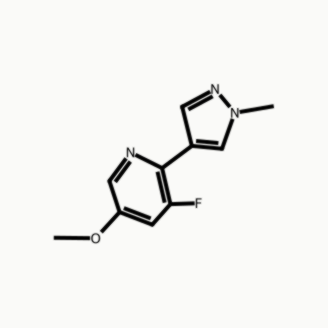 COc1cnc(-c2cnn(C)c2)c(F)c1